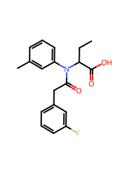 CCC(C(=O)O)N(C(=O)Cc1cccc(F)c1)c1cccc(C)c1